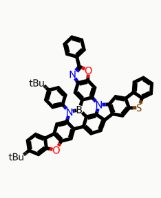 CC(C)(C)c1ccc(N2B3c4cc5nc(-c6ccccc6)oc5cc4-n4c5cc6c(cc5c5ccc(c3c54)-c3cc4oc5cc(C(C)(C)C)ccc5c4cc32)sc2ccccc26)cc1